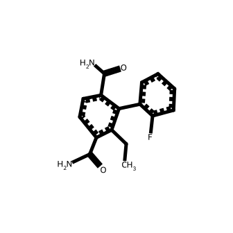 CCc1c(C(N)=O)ccc(C(N)=O)c1-c1ccccc1F